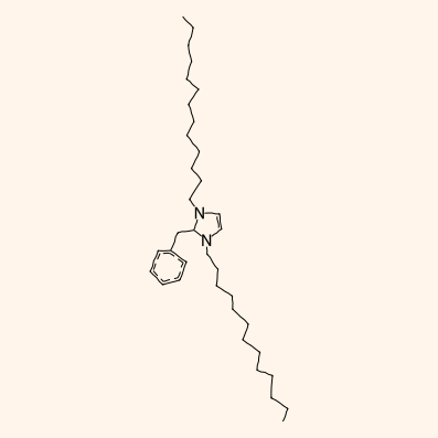 CCCCCCCCCCCCCN1C=CN(CCCCCCCCCCCCC)C1Cc1ccccc1